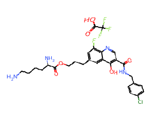 NCCCCC(N)C(=O)OCCCc1cc(F)c2ncc(C(=O)NCc3ccc(Cl)cc3)c(O)c2c1.O=C(O)C(F)(F)F